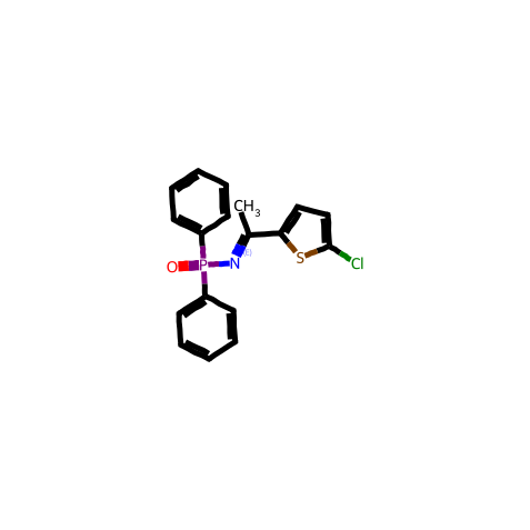 C/C(=N\P(=O)(c1ccccc1)c1ccccc1)c1ccc(Cl)s1